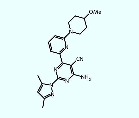 COC1CCN(c2cccc(-c3nc(-n4nc(C)cc4C)nc(N)c3C#N)n2)CC1